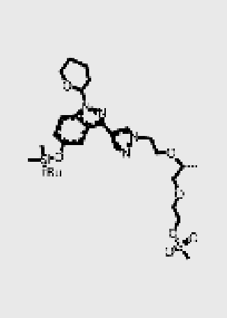 C[C@H](COCCOS(C)(=O)=O)OCCn1cc(-c2nn(C3CCCCO3)c3ccc(O[Si](C)(C)C(C)(C)C)cc23)cn1